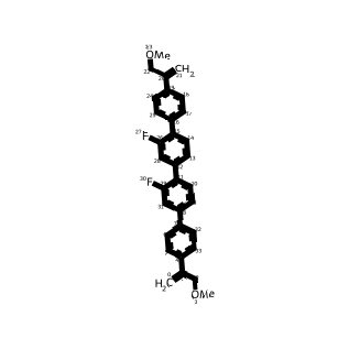 C=C(COC)c1ccc(-c2ccc(-c3ccc(-c4ccc(C(=C)COC)cc4)c(F)c3)c(F)c2)cc1